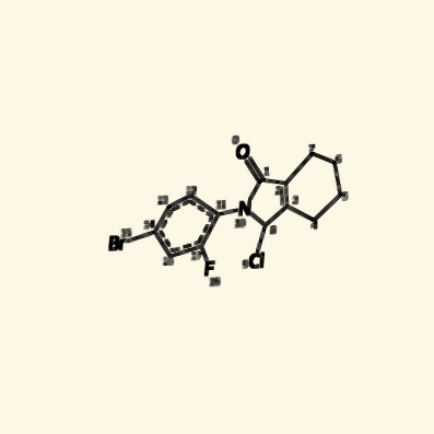 O=C1C2=C(CCCC2)C(Cl)N1c1ccc(Br)cc1F